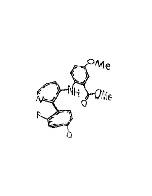 COC(=O)c1cc(OC)ccc1Nc1cccnc1-c1ccc(Cl)cc1F